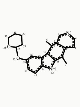 Cc1c2ccncc2c(C)c2c1[nH]c1ccc(OC3CCCCO3)cc12